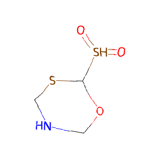 O=[SH](=O)C1OCNCS1